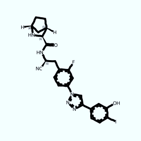 N#C[C@H](Cc1ccc(-n2cc(-c3ccc(I)c(O)c3)nn2)cc1F)NC(=O)[C@H]1N[C@@H]2CC[C@H]1C2